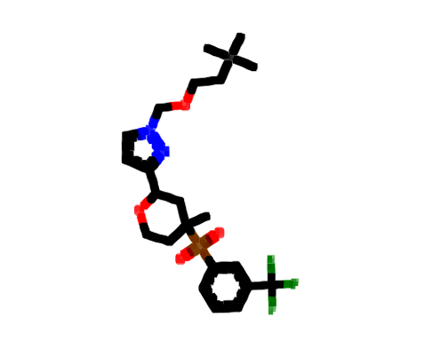 CC1(S(=O)(=O)c2cccc(C(F)(F)F)c2)CCOC(c2ccn(COCC[Si](C)(C)C)n2)C1